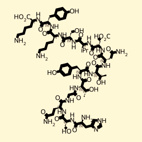 CC(C)[C@H](NC(=O)[C@H](CC(=O)O)NC(=O)[C@H](CC(N)=O)NC(=O)[C@@H](NC(=O)[C@H](Cc1ccc(O)cc1)NC(=O)[C@@H](NC(=O)CNC(=O)[C@H](CCC(N)=O)NC(=O)[C@@H](CO)NC(=O)[C@@H](N)Cc1c[nH]cn1)[C@@H](C)O)[C@@H](C)O)C(=O)N[C@@H](CO)C(=O)N[C@@H](CCCCN)C(=O)N[C@@H](Cc1ccc(O)cc1)C(=O)N[C@@H](CCCCN)C(=O)O